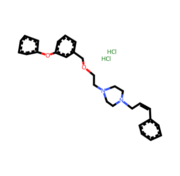 C(=C/c1ccccc1)/CN1CCN(CCOCc2cccc(Oc3ccccc3)c2)CC1.Cl.Cl